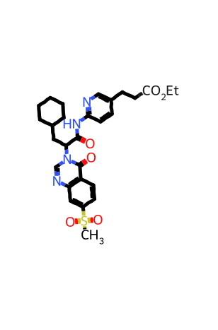 CCOC(=O)CCc1ccc(NC(=O)C(CC2CCCCC2)n2cnc3cc(S(C)(=O)=O)ccc3c2=O)nc1